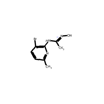 C/C(=N\O)Nc1nc(C)ccc1Br